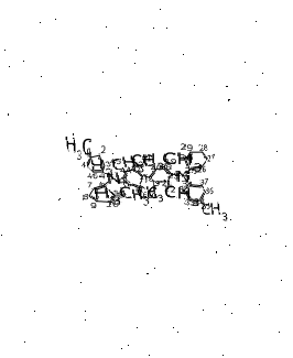 Cc1ccc(N(c2ccccc2)c2c(C)c(C)c(-c3c(C)c(C)c(N(c4ccccc4)c4ccc(C)cc4)c(C)c3C)c(C)c2C)cc1